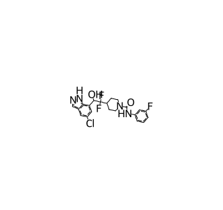 O=C(Nc1cccc(F)c1)N1CCC(C(F)(F)C(O)c2cc(Cl)cc3cn[nH]c23)CC1